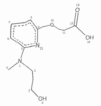 CN(CCO)c1cccc(OCC(=O)O)n1